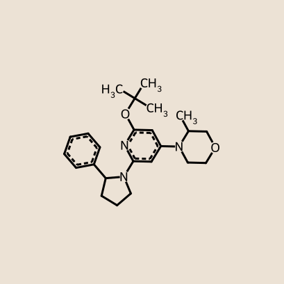 CC1COCCN1c1cc(OC(C)(C)C)nc(N2CCCC2c2ccccc2)c1